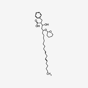 CCCCCC=CCC=CCCCCCCCC(CC(O)C(Cc1ccccc1)C(=O)O)OC1CCCCO1